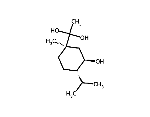 CC(C)[C@@H]1CC[C@@](C)(C(C)(O)O)C[C@H]1O